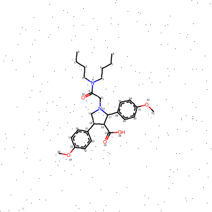 CCCCN(CCCC)C(=O)CN1CC(c2ccc(OC)cc2)C(C(=O)O)C1c1ccc(OC)cc1